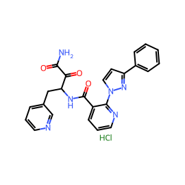 Cl.NC(=O)C(=O)C(Cc1cccnc1)NC(=O)c1cccnc1-n1ccc(-c2ccccc2)n1